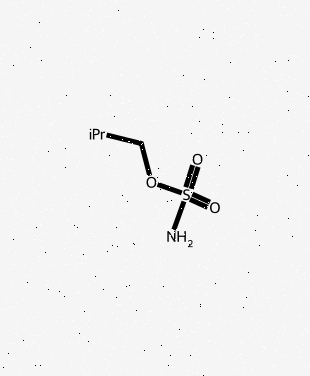 CC(C)COS(N)(=O)=O